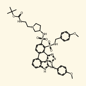 COc1ccc(CNS(=O)(=O)c2c(S(=O)(=O)N[C@@H]3CCN(CCNC(=O)OC(C)(C)C)C3)ccc(-c3cccc4[nH]c(N)nc34)c2-c2nnn(Cc3ccc(OC)cc3)n2)cc1